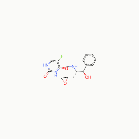 C1CO1.CN[C@@H](C)[C@H](O)c1ccccc1.O=c1[nH]cc(F)c(=O)[nH]1